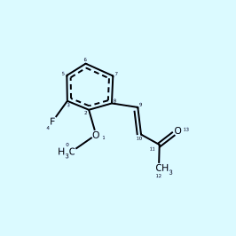 COc1c(F)cccc1C=CC(C)=O